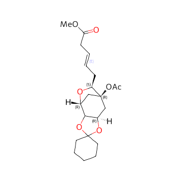 COC(=O)C/C=C/C[C@@H]1O[C@@H]2C[C@@]1(OC(C)=O)C[C@H]1OC3(CCCCC3)OC21